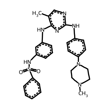 Cc1cnc(Nc2ccc(N3CCN(C)CC3)cc2)nc1Nc1cccc(NS(=O)(=O)c2ccccc2)c1